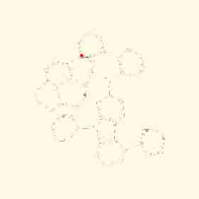 c1ccc(-c2ccccc2N(c2ccc3c4c(-c5ccccc5)cccc4n(-c4ccccc4)c3c2)c2ccc3ccc4cccc5ccc2c3c45)cc1